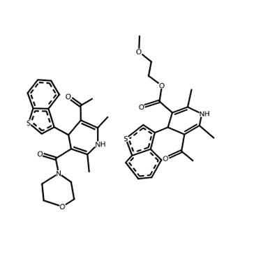 CC(=O)C1=C(C)NC(C)=C(C(=O)N2CCOCC2)C1c1csc2ccccc12.COCCOC(=O)C1=C(C)NC(C)=C(C(C)=O)C1c1csc2ccccc12